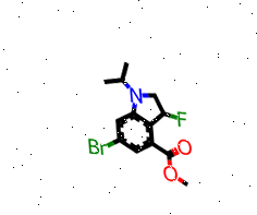 COC(=O)c1cc(Br)cc2c1C(F)CN2C(C)C